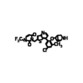 Cc1cc(Cl)cc(-c2ccnc3cc(Cn4c(=O)ccn(CC(F)(F)F)c4=O)sc23)c1OC1CC2CC1CN2